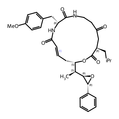 COc1ccc(C[C@H]2NC(=O)/C=C/C[C@@H]([C@H](C)[C@H]3O[C@@H]3c3ccccc3)OC(=O)[C@H](CC(C)C)CC(=O)CCNC2=O)cc1